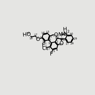 CO[C@H]1c2c(cc(F)c(Cl)c2-c2c(C)ccc(OCCO)c2F)O[C@]1(CN)c1ccccc1